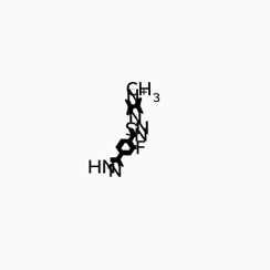 C[N+]1=CC2=CN(c3nnc(-c4ccc(-c5cn[nH]c5)cc4F)s3)CC2=C1